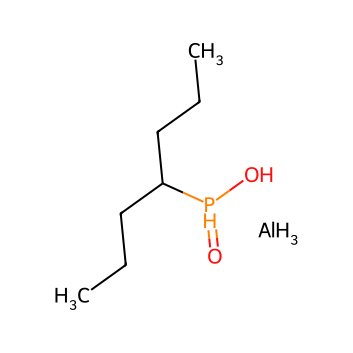 CCCC(CCC)[PH](=O)O.[AlH3]